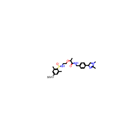 COc1cc(C)c([S+]([O-])NCCOC(C)C(=O)NCc2ccc(C3CN(C)C(C)=N3)cc2)c(C)c1